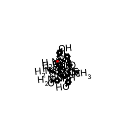 CSSC[C@@H](NC(=O)[C@@H](N)Cc1ccc(Cl)cc1)C(=O)N[C@@H](Cc1ccc(O)cc1)C(=O)N[C@H](Cc1ccc(C(N)=O)cc1)C(=O)N[C@@H](CCCCN)C(=O)NC1C(=O)N[C@H](C(=O)N[C@H](Cc2ccc(O)cc2)C(N)=O)CC1(C)C